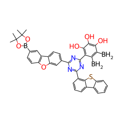 Bc1c(B)c(-c2nc(-c3ccc4c(c3)oc3ccc(B5OC(C)(C)C(C)(C)O5)cc34)nc(-c3cccc4c3sc3ccccc34)n2)c(O)c(O)c1O